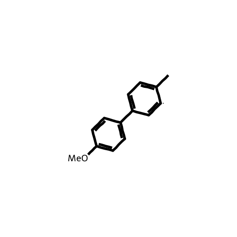 COc1ccc(-c2c[c]c(C)cc2)cc1